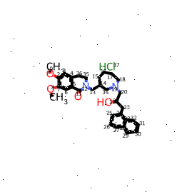 COc1cc2c(cc1OC)C(=O)N(CC1CCCCN(CC(O)Cc3cccc4ccccc34)C1)CC2.Cl